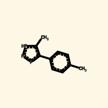 Cc1ccc(-c2pp[pH]c2C)cc1